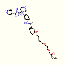 COC(=O)COCCCOCCCCCOc1cccc([C@H](C)Nc2cccc(NC3(c4nnc(-c5ccncc5)[nH]4)CCN(C)CC3)c2)c1